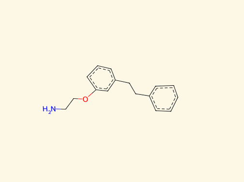 NCCOc1cccc(CCc2ccccc2)c1